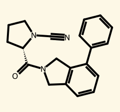 N#CN1CCC[C@H]1C(=O)N1Cc2cccc(-c3ccccc3)c2C1